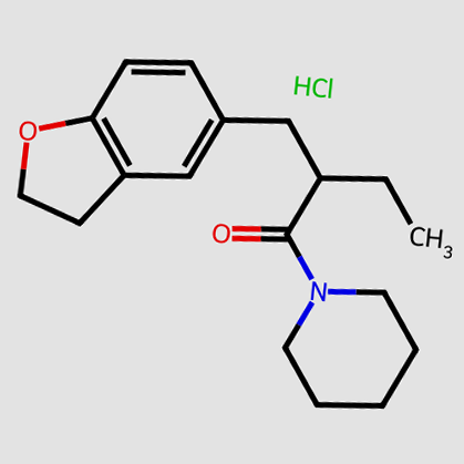 CCC(Cc1ccc2c(c1)CCO2)C(=O)N1CCCCC1.Cl